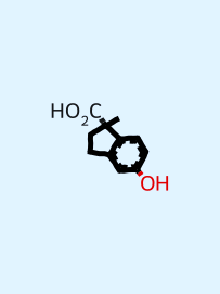 CC1(C(=O)O)CCc2cc(O)ccc21